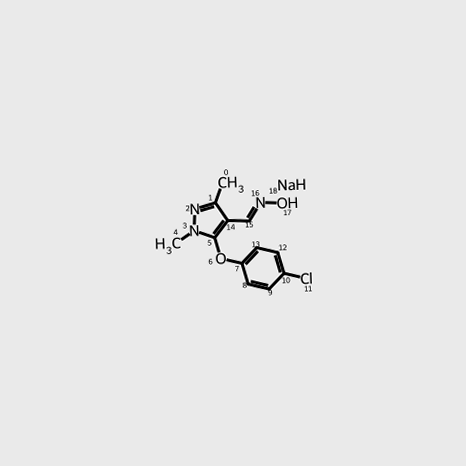 Cc1nn(C)c(Oc2ccc(Cl)cc2)c1C=NO.[NaH]